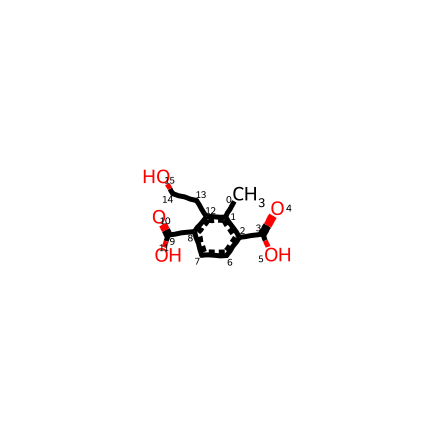 Cc1c(C(=O)O)ccc(C(=O)O)c1CCO